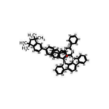 CC1(C)CC(C)(C)c2cc(-c3ccc(-c4cccc(-n5c6ccccc6c6ccc7c8ccccc8n(-c8nc(-c9ccccc9)nc(-c9ccccc9)n8)c7c65)c4)cc3)ccc21